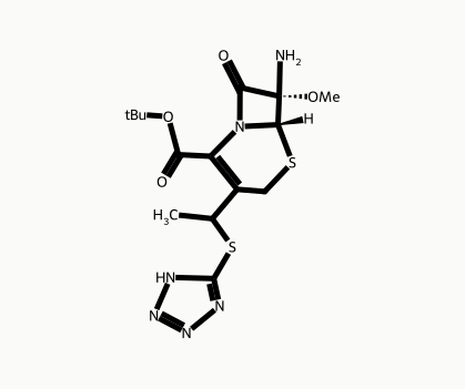 CO[C@@]1(N)C(=O)N2C(C(=O)OC(C)(C)C)=C(C(C)Sc3nnn[nH]3)CS[C@H]21